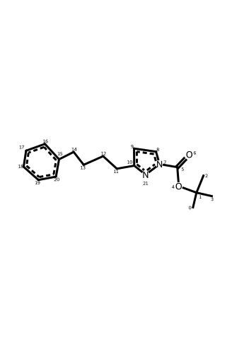 CC(C)(C)OC(=O)n1ccc(CCCCc2ccccc2)n1